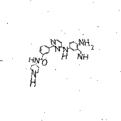 N=Cc1cc(Nc2ccnc(-c3cccc(C(=O)NC4CCNCC4)c3)n2)ccc1N